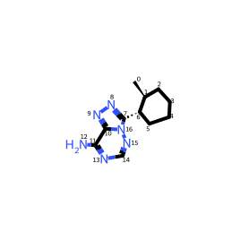 C[C@H]1CCCC[C@@H]1c1nnc2c(N)ncnn12